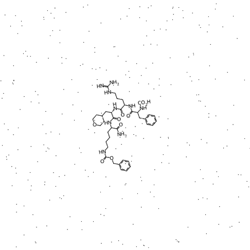 N=C(N)NCCCC(NC(=O)C(Cc1ccccc1)NC(=O)O)C(=O)NC(CC1CCOCC1)C(=O)NC(CCCCNC(=O)OCc1ccccc1)C(N)=O